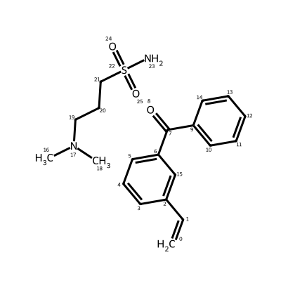 C=Cc1cccc(C(=O)c2ccccc2)c1.CN(C)CCCS(N)(=O)=O